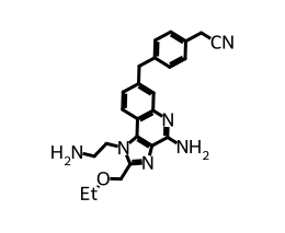 CCOCc1nc2c(N)nc3cc(Cc4ccc(CC#N)cc4)ccc3c2n1CCN